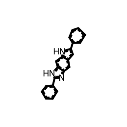 c1ccc(-c2cc3cc4nc(-c5ccccc5)[nH]c4cc3[nH]2)cc1